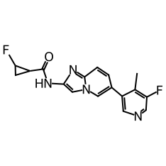 Cc1c(F)cncc1-c1ccc2nc(NC(=O)C3CC3F)cn2c1